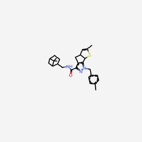 CC1=CC2Cc3c(C(=O)NCC4CCC5CC4C5(C)C)nn(Cc4ccc(C)cc4)c3C2S1